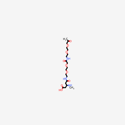 CNC(CC(=O)O)CC(=O)NCCOCCOCC(=O)NCCOCCOCC(C)=O